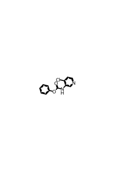 O=C(Nc1cnccc1Cl)Oc1ccccc1